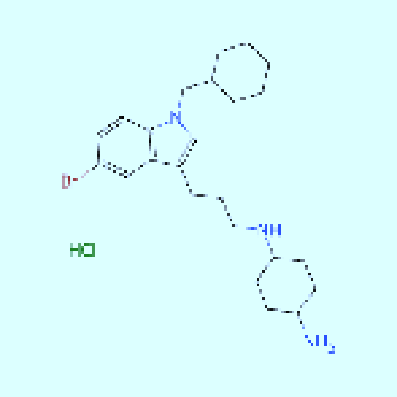 Cl.NC1CCC(NCCCc2cn(CC3CCCCC3)c3ccc(Br)cc23)CC1